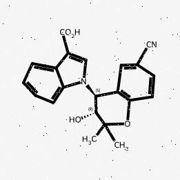 CC1(C)Oc2ccc(C#N)cc2[C@H](n2cc(C(=O)O)c3ccccc32)[C@H]1O